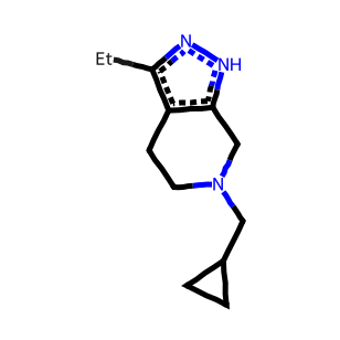 CCc1n[nH]c2c1CCN(CC1CC1)C2